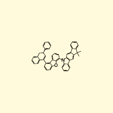 CC1(C)c2ccccc2-c2cc3c(cc21)c1ccccc1n3-c1cccc2c1oc1cccc(C3=C[C@H](c4ccccc4)Cc4ccccc43)c12